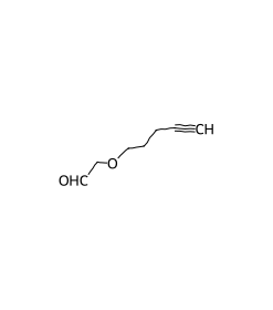 C#CCCCOCC=O